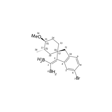 BC(B)=C1c2cc(Br)ccc2C[C@@]12CC[C@H](OC)[C@@H](C)C2